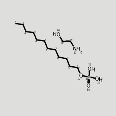 CCCCCCCCCCCCOP(=O)(O)O.NCCO